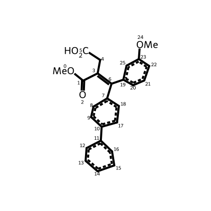 COC(=O)/C(CC(=O)O)=C(\c1ccc(-c2ccccc2)cc1)c1cccc(OC)c1